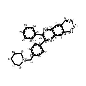 [CH]1=[W][V]=[U][c]2cc3nc(-c4ccc(CN5CCCCC5)cc4)c(-c4ccccc4)nc3cc21